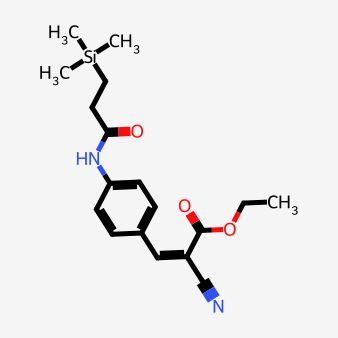 CCOC(=O)/C(C#N)=C\c1ccc(NC(=O)CC[Si](C)(C)C)cc1